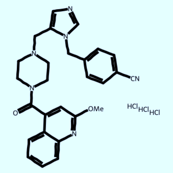 COc1cc(C(=O)N2CCN(Cc3cncn3Cc3ccc(C#N)cc3)CC2)c2ccccc2n1.Cl.Cl.Cl